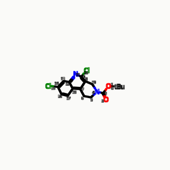 CC(C)(C)OC(=O)N1CCc2c(c(Cl)nc3cc(Cl)ccc23)C1